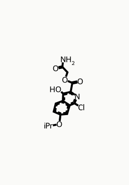 CC(C)Oc1ccc2c(O)c(C(=O)OCC(N)=O)nc(Cl)c2c1